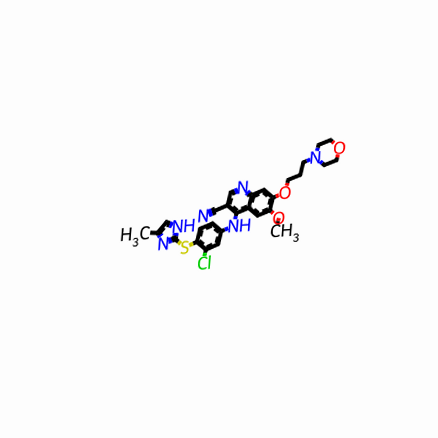 COc1cc2c(Nc3ccc(Sc4nc(C)c[nH]4)c(Cl)c3)c(C#N)cnc2cc1OCCCN1CCOCC1